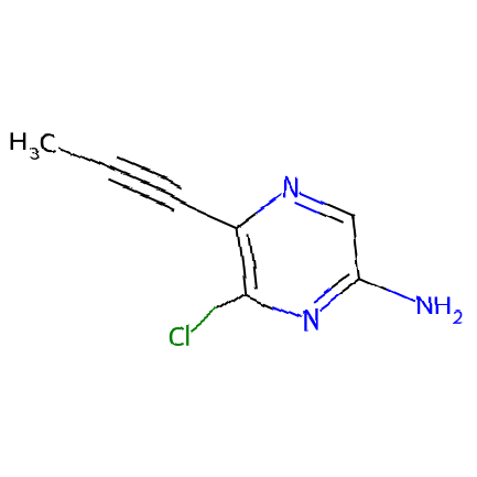 CC#Cc1ncc(N)nc1Cl